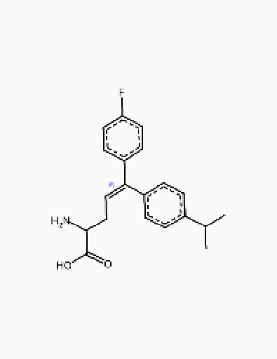 CC(C)c1ccc(/C(=C\CC(N)C(=O)O)c2ccc(F)cc2)cc1